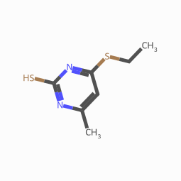 CCSc1cc(C)nc(S)n1